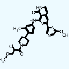 COCC(Cl)C(=O)N1CCC(c2ccc(Nc3nc(-c4cncc(OC)n4)cc4cc[nH]c(=O)c34)cc2C)CC1